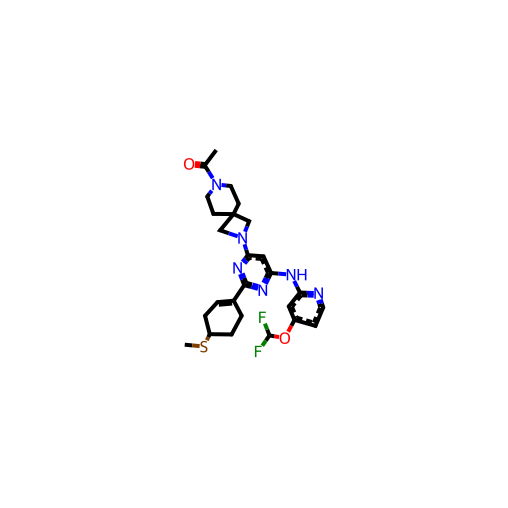 CSC1CC=C(c2nc(Nc3cc(OC(F)F)ccn3)cc(N3CC4(CCN(C(C)=O)CC4)C3)n2)CC1